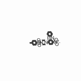 Cc1ccc(S(=O)(=O)N2CCN(c3ccc([N+](=O)[O-])c(Nc4ccccc4)c3)CC2)cc1